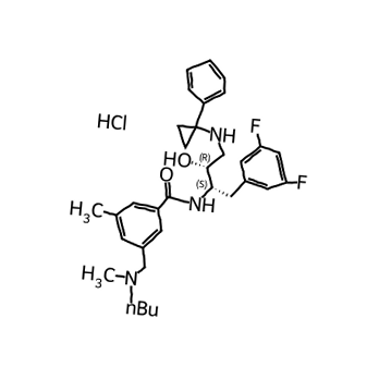 CCCCN(C)Cc1cc(C)cc(C(=O)N[C@@H](Cc2cc(F)cc(F)c2)[C@H](O)CNC2(c3ccccc3)CC2)c1.Cl